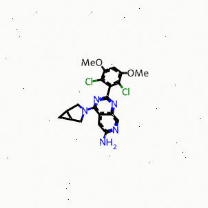 COc1cc(OC)c(Cl)c(-c2nc(N3CC4CC4C3)c3cc(N)ncc3n2)c1Cl